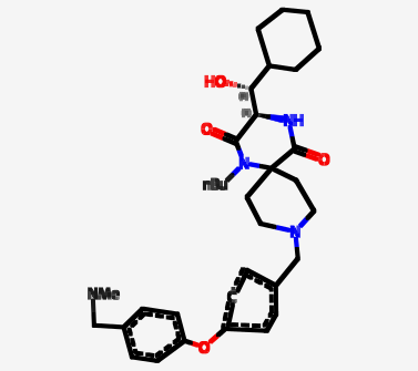 CCCCN1C(=O)[C@@H]([C@H](O)C2CCCCC2)NC(=O)C12CCN(Cc1ccc(Oc3ccc(CNC)cc3)cc1)CC2